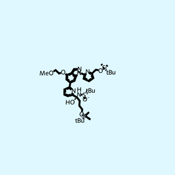 COCCOc1cc(-c2cccc([C@@](O)(CCCO[Si](C)(C)C(C)(C)C)N[S@+]([O-])C(C)(C)C)n2)cc2c1cnn2-c1cccc(CO[Si](C)(C)C(C)(C)C)n1